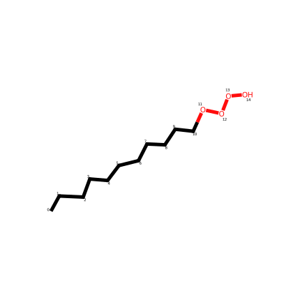 CCCCCCCCCCCOOOO